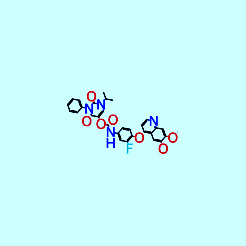 COc1cc2nccc(Oc3ccc(NC(=O)Oc4cn(C(C)C)c(=O)n(-c5ccccc5)c4=O)cc3F)c2cc1OC